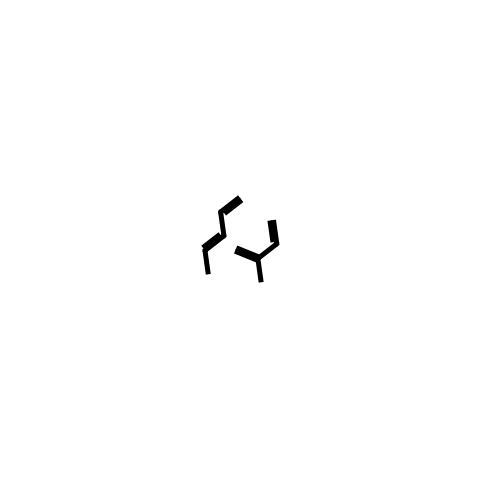 C=C/C=C/C.C=CC(=C)C